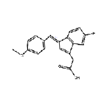 COc1ccc(/C=C2\C=C(CC(=O)O)c3cc(F)ccc32)cc1